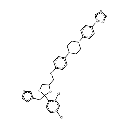 Clc1ccc(C2(Cn3ccnc3)OCC(COc3ccc(N4CCN(c5ccc(-n6cnnn6)cc5)CC4)cc3)O2)c(Cl)c1